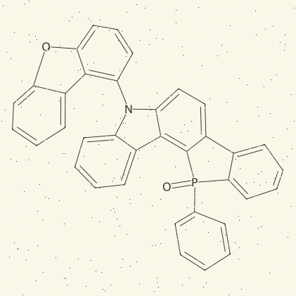 O=P1(c2ccccc2)c2ccccc2-c2ccc3c(c21)c1ccccc1n3-c1cccc2oc3ccccc3c12